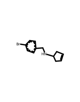 Brc1ccc(CNC2CC=CC2)cc1